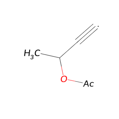 [C]#CC(C)OC(C)=O